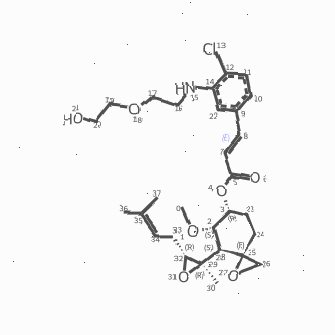 CO[C@@H]1[C@H](OC(=O)/C=C/c2ccc(Cl)c(NCCOCCO)c2)CC[C@]2(CO2)[C@H]1[C@@]1(C)O[C@@H]1CC=C(C)C